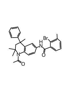 CC(=O)N1c2ccc(NC(=O)c3cccc(C)c3Br)cc2C(C)(c2ccccc2)CC1(C)C